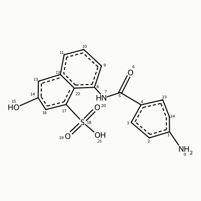 Nc1ccc(C(=O)Nc2cccc3cc(O)cc(S(=O)(=O)O)c23)cc1